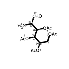 CC(=O)OC[C@@H](OC(C)=O)[C@@H](OC(C)=O)[C@H](OC(C)=O)[C@@H](N)C=O